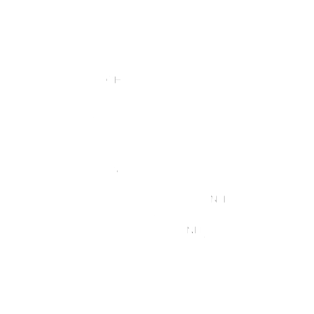 N=C(N)c1ccc(Oc2ccc(O)cc2)cc1